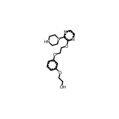 OCCOc1cccc(OCCOc2nccnc2N2CCNCC2)c1